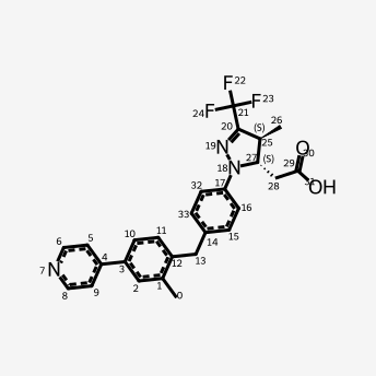 Cc1cc(-c2ccncc2)ccc1Cc1ccc(N2N=C(C(F)(F)F)[C@@H](C)[C@@H]2CC(=O)O)cc1